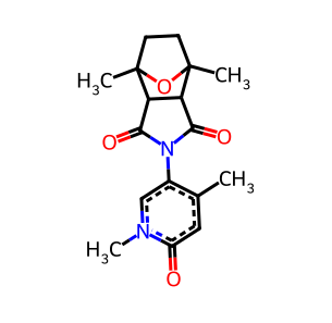 Cc1cc(=O)n(C)cc1N1C(=O)C2C(C1=O)C1(C)CCC2(C)O1